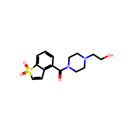 O=C(c1cccc2c1C=CS2(=O)=O)N1CCN(CCO)CC1